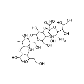 CC1C(O)[C@H](O[C@@H]2OC(CO)[C@H](O)C(O[C@]3(C(=O)O)C[C@@H](O)[C@@H](N)C([C@H](O)C(O)CO)O3)[C@@H]2O)[C@H](CO)O[C@H]1O[C@H](C(O)[C@H](O)CCO)[C@@H](C)O